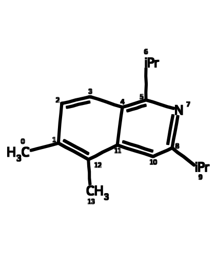 Cc1ccc2c(C(C)C)nc(C(C)C)cc2c1C